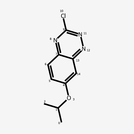 CC(C)Oc1ccc2nc(Cl)nnc2c1